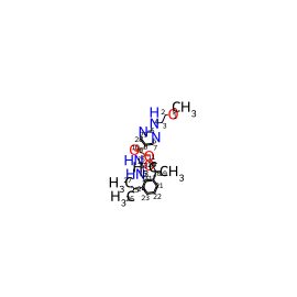 COCCNc1ncc(S(=O)(=O)NC(=O)Nc2c(C(C)C)cccc2C(C)C)cn1